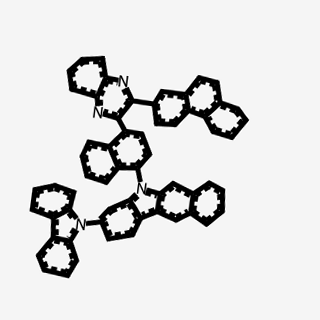 c1ccc2cc3c(cc2c1)c1ccc(-n2c4ccccc4c4ccccc42)cc1n3-c1ccc(-c2nc3ccccc3nc2-c2ccc3c(ccc4ccccc43)c2)c2ccccc12